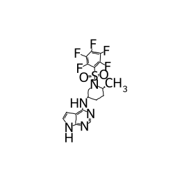 C[C@H]1CC[C@@H](Nc2ncnc3[nH]ccc23)CN1S(=O)(=O)c1c(F)c(F)c(F)c(F)c1F